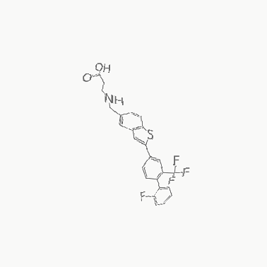 O=C(O)CCNCc1ccc2sc(-c3ccc(-c4ccccc4F)c(C(F)(F)F)c3)cc2c1